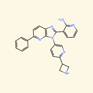 Nc1ncccc1-c1nc2ccc(-c3ccccc3)nc2n1-c1ccc(C2CNC2)nc1